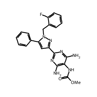 COC(=O)Nc1c(N)nc(-c2cc(-c3ccccc3)n(Cc3ccccc3F)n2)nc1N